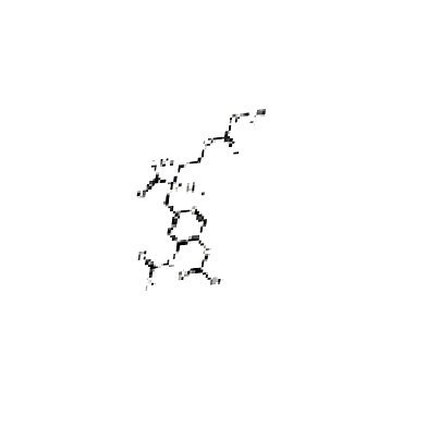 CC[C@H](C)OC(=O)OCC[C@@](N)(Cc1ccc(OC(=O)C(C)C)c(OC(=O)C(C)C)c1)C(=O)OC